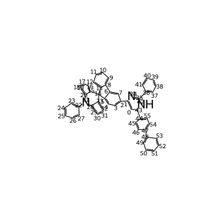 C1=C(c2ccc3c(c2)-c2ccccc2C32c3ccccc3N(c3ccccc3)c3ccccc32)N=C(c2ccccc2)NC1c1ccc(-c2ccccc2)cc1